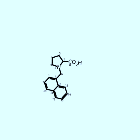 O=C(O)C1CCCN1Cc1cccc2ccccc12